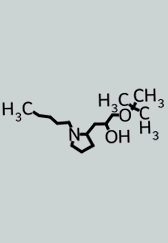 CCCCCN1CCCC1CC(O)COC(C)(C)C